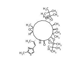 C/C(=C\c1csc(C)n1)[C@@H]1C[C@@H]2O[C@]2(C)CCC[C@H](C)[C@H](O[Si](C)(C)C(C)(C)C)[C@@H](C)C(=O)C(C)(C)[C@@H](O[Si](C)(C)C(C)(C)C)CC(=O)N1